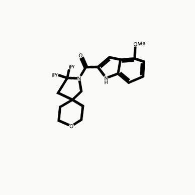 COc1cccc2[nH]c(C(=O)N3CC4(CCOCC4)CC3(C(C)C)C(C)C)cc12